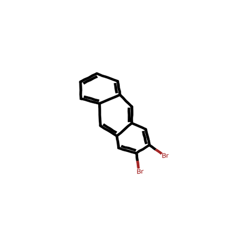 Brc1cc2cc3ccccc3cc2cc1Br